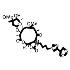 CC[C@H]1OC(=O)[C@H](C)[C@@H](O[C@H]2C[C@@](C)(OC)[C@@H](O)[C@H](C)O2)[C@H](C)C[C@](C)(OC)C[C@@H](C)C(=O)[C@H](C)[C@H]2N(CCCCn3cnc(-c4cccnc4)c3)C(=O)O[C@]12C